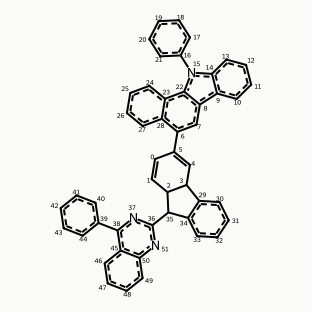 C1=CC2C(C=C1c1cc3c4ccccc4n(-c4ccccc4)c3c3ccccc13)c1ccccc1C2c1nc(-c2ccccc2)c2ccccc2n1